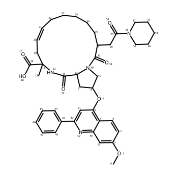 COc1ccc2c(OC3CC4C(=O)NC(C)(C(=O)O)CC=CCCCCCC(CC(=O)N5CCCCC5)C(=O)N4C3)cc(-c3ccccc3)nc2c1